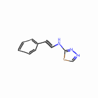 C(=Cc1ccccc1)Nc1nncs1